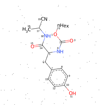 CCCCCCOC(=O)NC(Cc1ccc(O)cc1)C(=O)NC(C)C#N